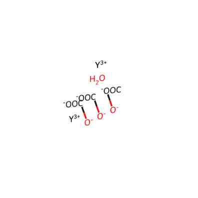 O.O=C([O-])[O-].O=C([O-])[O-].O=C([O-])[O-].[Y+3].[Y+3]